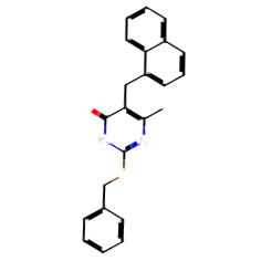 Cc1nc(SCc2ccccc2)[nH]c(=O)c1Cc1cccc2ccccc12